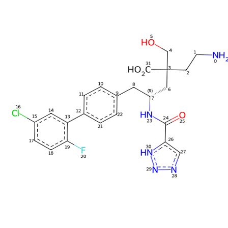 NCCC(CO)(C[C@@H](Cc1ccc(-c2cc(Cl)ccc2F)cc1)NC(=O)c1cnn[nH]1)C(=O)O